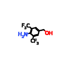 Nc1c(C(F)(F)F)cc(CO)cc1C(F)(F)F